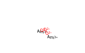 [Am+3].[Am+3].[O-2].[O-2].[O-2]